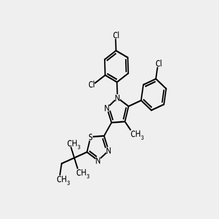 CCC(C)(C)c1nnc(-c2nn(-c3ccc(Cl)cc3Cl)c(-c3cccc(Cl)c3)c2C)s1